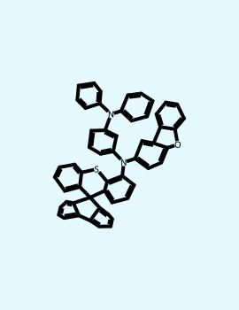 c1ccc(N(c2ccccc2)c2cccc(N(c3ccc4oc5ccccc5c4c3)c3cccc4c3Sc3ccccc3C43c4ccccc4-c4ccccc43)c2)cc1